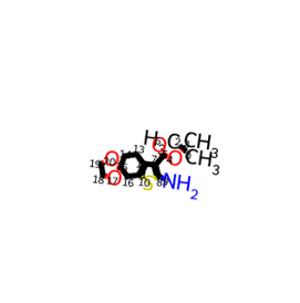 CC(C)(C)OC(=O)c1c(N)sc2c1CCC1(C2)OCCO1